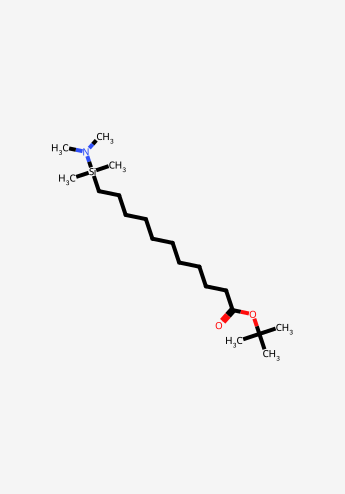 CN(C)[Si](C)(C)CCCCCCCCCCC(=O)OC(C)(C)C